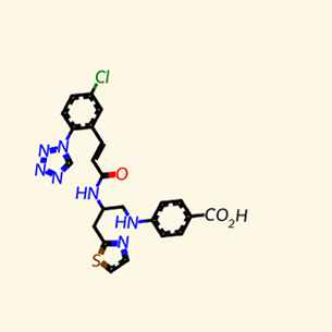 O=C(/C=C/c1cc(Cl)ccc1-n1cnnn1)NC(CNc1ccc(C(=O)O)cc1)Cc1nccs1